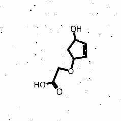 O=C(O)COC1C=CC(O)C1